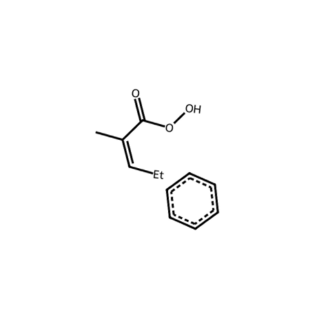 CCC=C(C)C(=O)OO.c1ccccc1